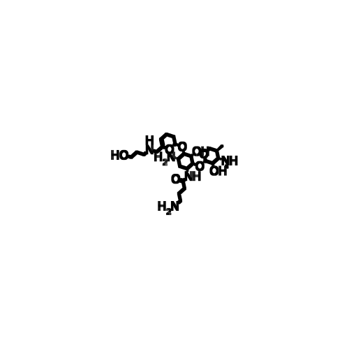 CN[C@@H]1[C@@H](O)[C@@H](O[C@@H]2[C@@H](O)[C@H](O[C@@H]3CCC=C(CNCCCO)O3)[C@@H](N)C[C@H]2NC(=O)CCCN)OC[C@H]1C